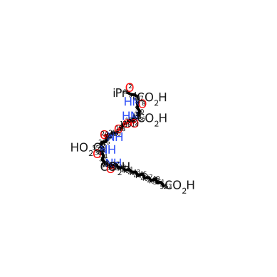 CC(C)C(=O)CC[C@H](NC(=O)CC[C@H](NC(=O)COCCOCCNC(=O)CC[C@H](NC(=O)CC[C@H](NC(=O)CCCCCCCCCCCCCCCCC(=O)O)C(=O)O)C(=O)O)C(=O)O)C(=O)O